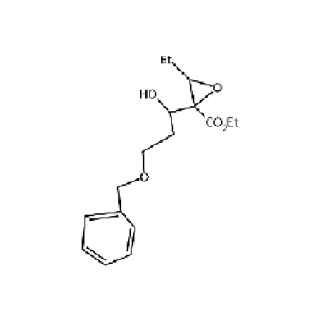 CCOC(=O)C1(C(O)CCOCc2ccccc2)OC1CC